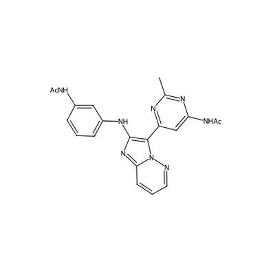 CC(=O)Nc1cccc(Nc2nc3cccnn3c2-c2cc(NC(C)=O)nc(C)n2)c1